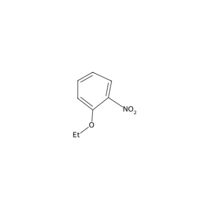 [CH2]COc1ccccc1[N+](=O)[O-]